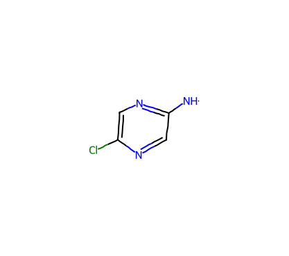 [NH]c1cnc(Cl)cn1